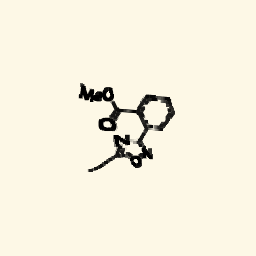 COC(=O)c1ccccc1-c1noc(C)n1